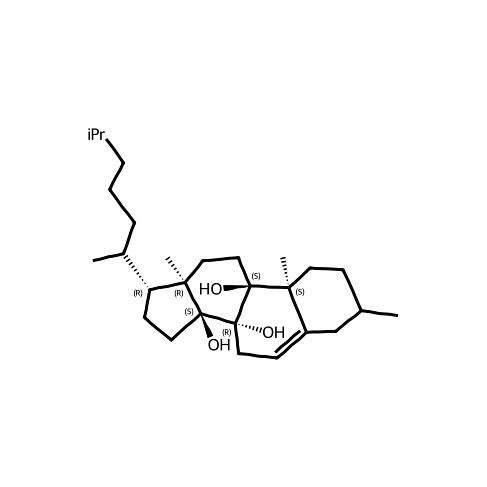 CC(C)CCCC(C)[C@H]1CC[C@@]2(O)[C@]3(O)CC=C4CC(C)CC[C@]4(C)[C@@]3(O)CC[C@]12C